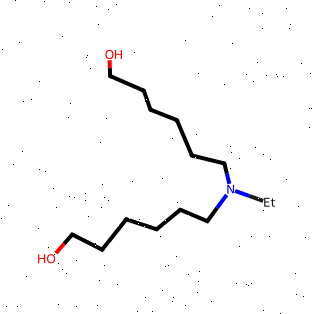 CCN(CCCCCCO)CCCCCCO